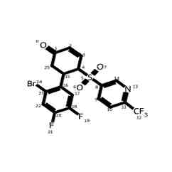 O=C1C=CC(S(=O)(=O)c2ccc(C(F)(F)F)nc2)C(c2cc(F)c(F)cc2Br)C1